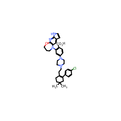 CC1(C)CCC(CCN2CCN(c3ccc(C(=O)O)c(N4CCCOc5nc6[nH]ccc6cc54)c3)CC2)=C(c2ccc(Cl)cc2)C1